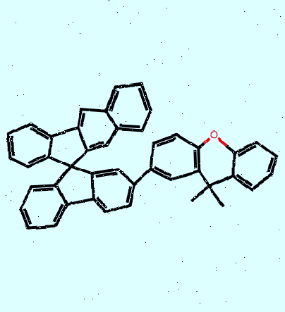 CC1(C)c2ccccc2Oc2ccc(-c3ccc4c(c3)C3(c5ccccc5-4)c4ccccc4-c4cc5ccccc5cc43)cc21